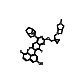 CN1CC2CN(CC3(COc4nc(N5CC6CCC(C5)N6)c5cc(F)c(-c6cc(O)cc7ccc(F)c(F)c67)c(F)c5n4)CC3)C2C1